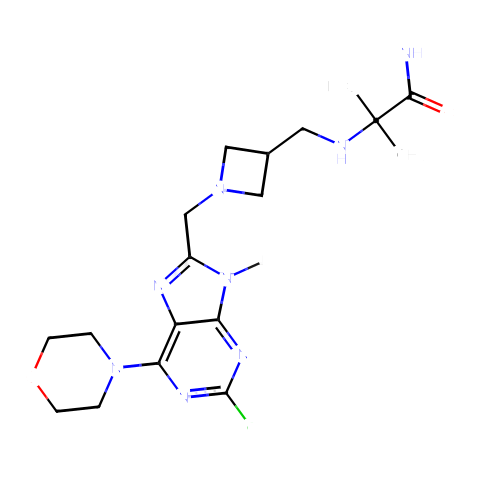 CCn1c(CN2CC(CNC(C)(C)C(N)=O)C2)nc2c(N3CCOCC3)nc(Cl)nc21